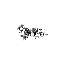 CCOC(=O)C1CCCn2c1nnc2[C@@H](COCc1ccccc1)NC(=O)OC(C)(C)C